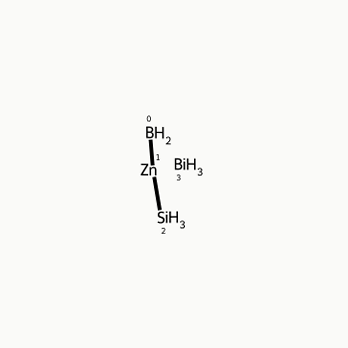 [BH2][Zn][SiH3].[BiH3]